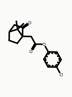 CC1(C)C2CCC1(CC(=O)Oc1ccc(Cl)cc1)C(=O)C2